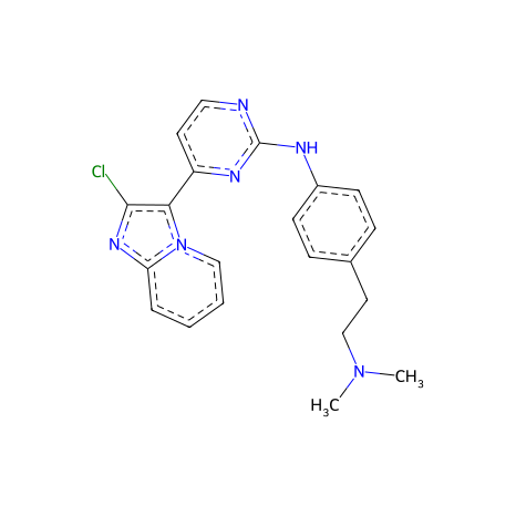 CN(C)CCc1ccc(Nc2nccc(-c3c(Cl)nc4ccccn34)n2)cc1